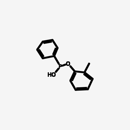 Cc1ccccc1OP(O)c1ccccc1